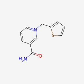 NC(=O)c1ccc[n+](Cc2cccs2)c1